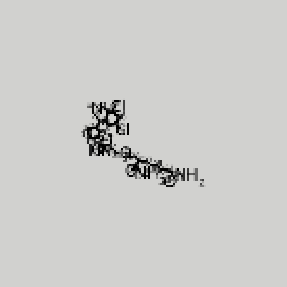 CN1Cc2c(Cl)cc(Cl)cc2C(c2cccc(S(=O)(=O)NCCOCCC(CCCCCC(N)=O)C(N)=O)c2)C1